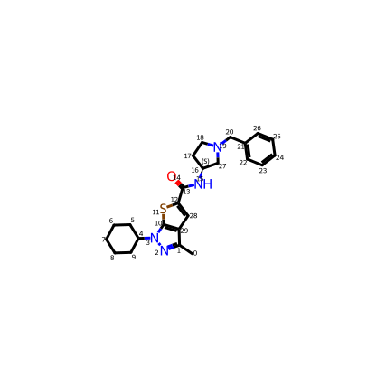 Cc1nn(C2CCCCC2)c2sc(C(=O)N[C@H]3CCN(Cc4ccccc4)C3)cc12